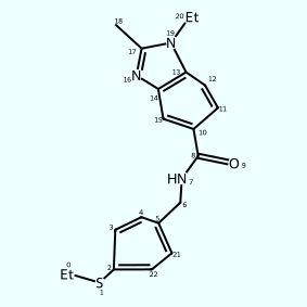 CCSc1ccc(CNC(=O)c2ccc3c(c2)nc(C)n3CC)cc1